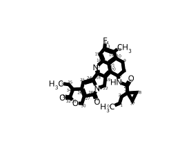 CCCC1(C(=O)NC2CCc3c(C)c(F)cc4nc5c(c2c34)Cn2c-5cc3c(c2=O)COC(=O)C3CC)CC1